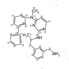 CC(Cc1cccc(CN)c1)Nc1nccc(N(C)c2cccc(-c3ccccc3)n2)n1